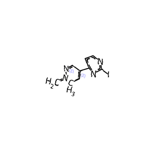 C=N/N=C\C(=C/C)c1ccnc(I)n1